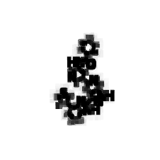 O=C(Nc1cncc(-c2cc3c(-c4nc5c(-c6ccsc6)cccc5[nH]4)n[nH]c3cn2)c1)C1CCCCC1